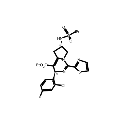 CCOC(=O)C1=C2C[C@H](NS(=O)(=O)C(C)C)CN2C(c2nccs2)=N[C@H]1c1ccc(F)cc1Cl